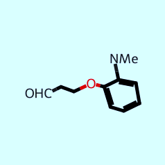 CNc1ccccc1OCCC=O